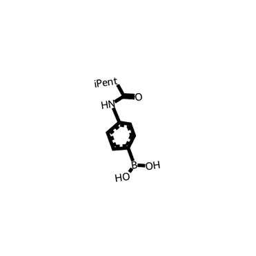 CCCC(C)C(=O)Nc1ccc(B(O)O)cc1